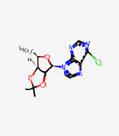 CC1(C)OC2[C@@H](O1)[C@@H](C(=O)O)O[C@H]2n1cnc2c(Cl)ncnc21